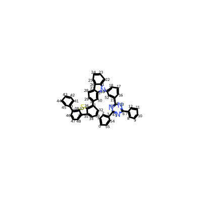 c1ccc(-c2nc(-c3ccccc3)nc(-c3cccc(-n4c5ccccc5c5ccc(-c6cccc7c6sc6c(-c8ccccc8)cccc67)cc54)c3)n2)cc1